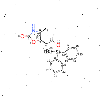 CC(C[C@H]1OC(=O)N[C@H]1C)O[Si](c1ccccc1)(c1ccccc1)C(C)(C)C